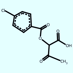 CC(=O)C(OC(=O)c1ccc(Cl)cc1)C(=O)O